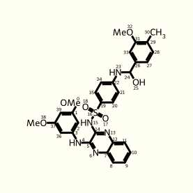 COc1cc(Nc2nc3ccccc3nc2NS(=O)(=O)c2ccc(NC(O)c3ccc(C)c(OC)c3)cc2)cc(OC)c1